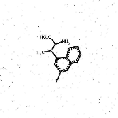 CC(c1cc(F)cc2ccccc12)C(N)C(=O)O